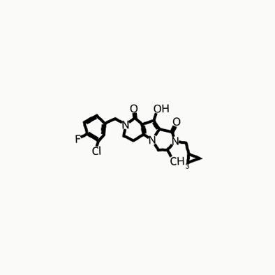 CC1Cn2c3c(c(O)c2C(=O)N1CC1CC1)C(=O)N(Cc1ccc(F)c(Cl)c1)CC3